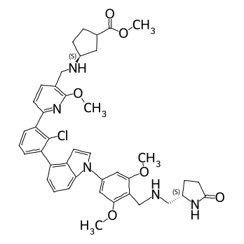 COC(=O)C1CC[C@H](NCc2ccc(-c3cccc(-c4cccc5c4ccn5-c4cc(OC)c(CNC[C@@H]5CCC(=O)N5)c(OC)c4)c3Cl)nc2OC)C1